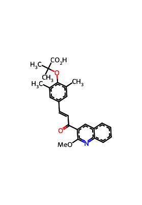 COc1nc2ccccc2cc1C(=O)C=Cc1cc(C)c(OC(C)(C)C(=O)O)c(C)c1